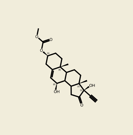 C#C[C@]1(O)C(=O)CC2C3C(CC[C@@]21C)[C@@]1(C)CC[C@H](OC(=O)OC)CC1=C[C@@H]3O